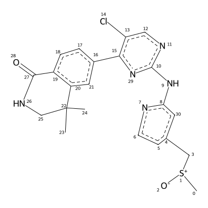 C[S+]([O-])Cc1ccnc(Nc2ncc(Cl)c(-c3ccc4c(c3)C(C)(C)CNC4=O)n2)c1